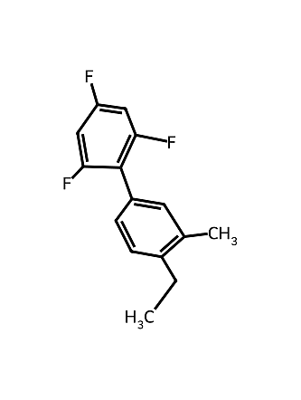 CCc1ccc(-c2c(F)cc(F)cc2F)cc1C